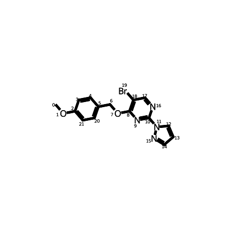 COc1ccc(COc2nc(-n3cccn3)ncc2Br)cc1